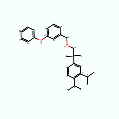 CC(C)c1ccc(C(C)(C)COCc2cccc(Oc3ccccc3)c2)cc1C(C)C